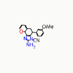 COc1cccc(C2CC3=CC=COC3c3nc(N)n(C#N)c32)c1